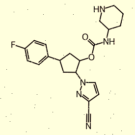 N#Cc1ccn(C2CC(c3ccc(F)cc3)CC2OC(=O)NC2CCCNC2)n1